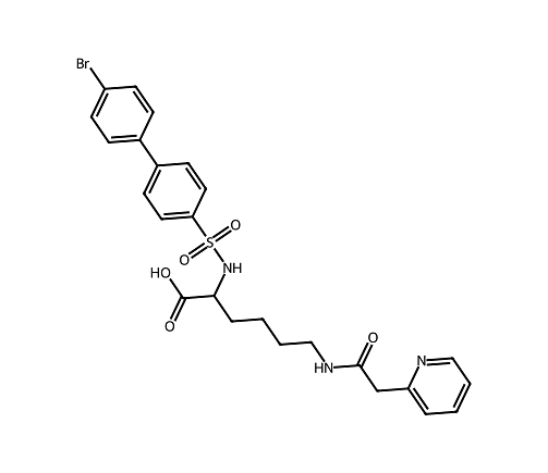 O=C(Cc1ccccn1)NCCCCC(NS(=O)(=O)c1ccc(-c2ccc(Br)cc2)cc1)C(=O)O